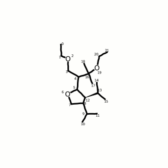 CCOCC(C1OCC(C(C)C)[C@@H]1C(C)C)C(C)(C)OCC